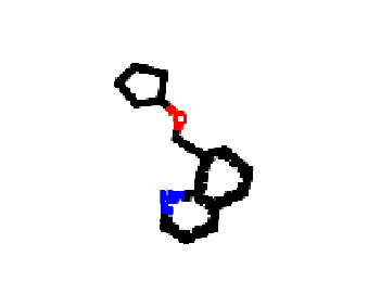 c1cnc2c(COC3CCCC3)cccc2c1